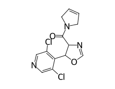 O=C(C1N=COC1c1c(Cl)cncc1Cl)N1CC=CC1